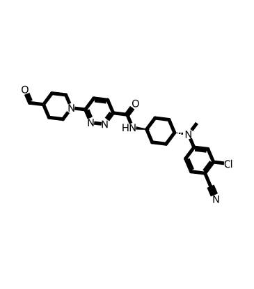 CN(c1ccc(C#N)c(Cl)c1)[C@H]1CC[C@H](NC(=O)c2ccc(N3CCC(C=O)CC3)nn2)CC1